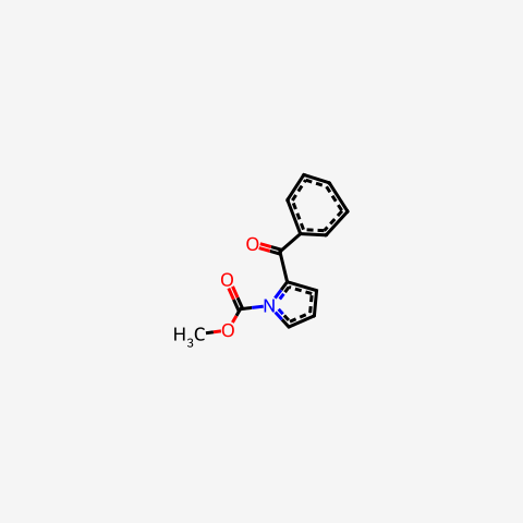 COC(=O)n1cccc1C(=O)c1ccccc1